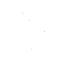 C=C/C=C(/CC)S/C=C/C